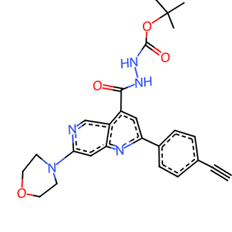 C#Cc1ccc(-c2cc(C(=O)NNC(=O)OC(C)(C)C)c3cnc(N4CCOCC4)cc3n2)cc1